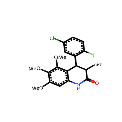 CCCC1C(=O)Nc2cc(OC)c(OC)c(OC)c2C1c1cc(Cl)ccc1F